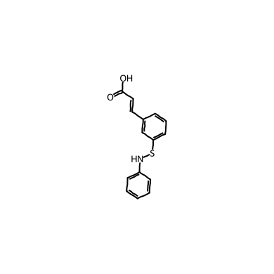 O=C(O)/C=C/c1cccc(SNc2ccccc2)c1